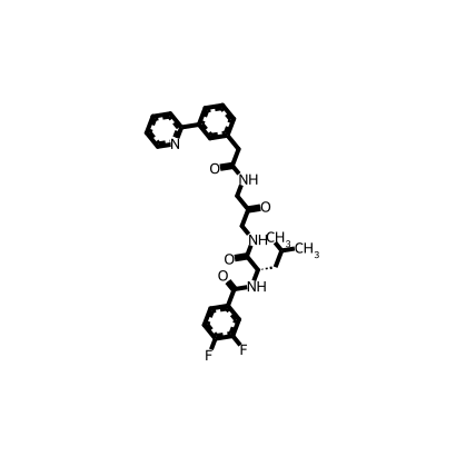 CC(C)C[C@H](NC(=O)c1ccc(F)c(F)c1)C(=O)NCC(=O)CNC(=O)Cc1cccc(-c2ccccn2)c1